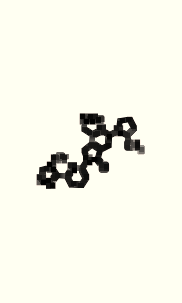 CCCn1cnnc1-c1cccc(N2Cc3c(cc(N4CCC[C@H]4C)nc3CNC)C2=O)n1